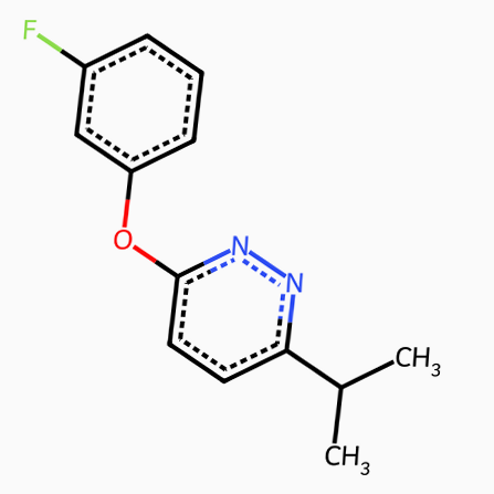 CC(C)c1ccc(Oc2cccc(F)c2)nn1